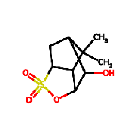 CC1(C)C2CC3C1C(OS3(=O)=O)C2O